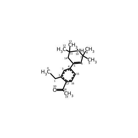 CCc1cc(C2=CC(C)(C)NC(C)(C)C2)ccc1C(C)=O